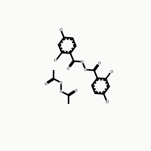 CC(=O)OOC(C)=O.O=C(OOC(=O)c1ccc(Cl)cc1Cl)c1ccc(Cl)cc1Cl